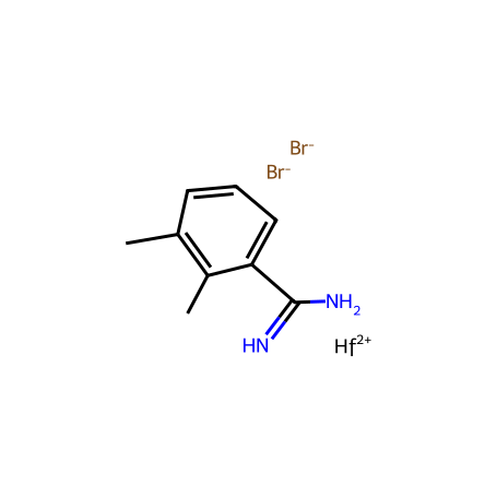 Cc1cccc(C(=N)N)c1C.[Br-].[Br-].[Hf+2]